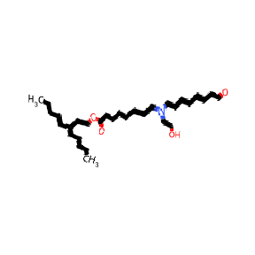 CCCCCC(CCCCC)CCOC(=O)CCCCCCCN(CCO)CCCCCCCC=O